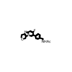 CC(=O)NCc1ccc(-c2cn3c4c(nc3cc2F)CCOC4)cc1